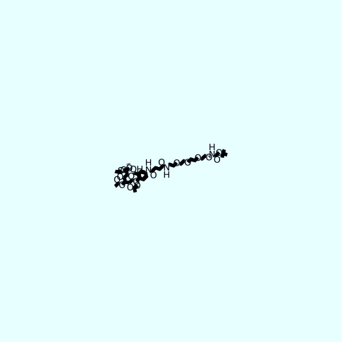 COC(=O)C1OC(Oc2ccc(NC(=O)CCC(=O)NCCOCCOCCOCCONC(=O)OC(C)(C)C)cc2CO)C(OC(C)=O)C(OC(C)=O)C1OC(C)=O